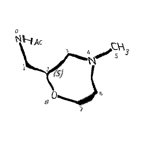 CC(=O)NC[C@H]1CN(C)CCO1